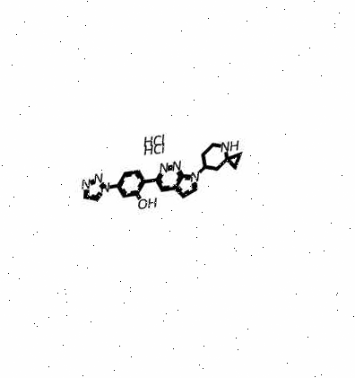 Cl.Cl.Oc1cc(-n2ccnn2)ccc1-c1cc2ccn(C3CCNC4(CC4)C3)c2nn1